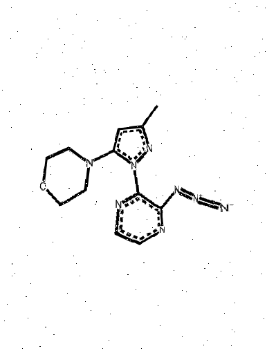 Cc1cc(N2CCOCC2)n(-c2nccnc2N=[N+]=[N-])n1